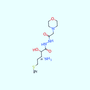 CC(C)SCC[C@@H](N)C(O)C(=O)NNC(=O)CN1CCOCC1